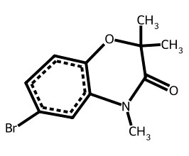 CN1C(=O)C(C)(C)Oc2ccc(Br)cc21